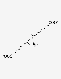 C/C(=C\CCCCCCC(=O)[O-])CC/C(C)=C/CCCCCCC(=O)[O-].[K+].[K+]